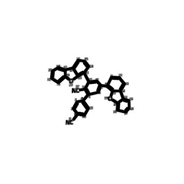 N#Cc1ccc(-c2cc(-c3cccc4c3oc3ccccc34)cc(-c3cccc4c3oc3ccccc34)c2C#N)cc1